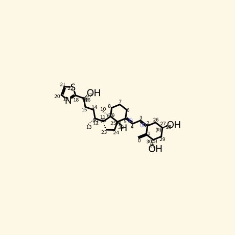 C=C1/C(=C\C=C2/CCC[C@]3(C)[C@@H]([C@H](C)CC[C@@H](O)c4nccs4)CC[C@@H]23)C[C@@H](O)C[C@@H]1O